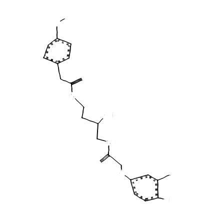 O=C(COc1ccc(Cl)c(F)c1)NCC(O)CCNC(=O)Cc1ccc(OC(F)(F)F)cc1